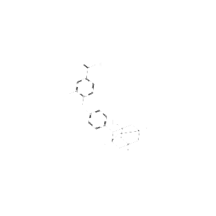 O=C(O)c1ccc(Oc2ccc(C3[C@H]4C[C@@H]5C[C@@H](C[C@H]3C5)C4)cc2)c(F)c1